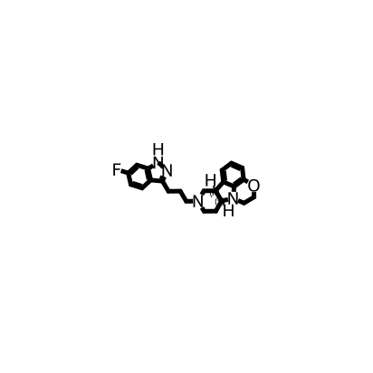 Fc1ccc2c(CCCN3CC[C@H]4[C@@H](C3)c3cccc5c3N4CCO5)n[nH]c2c1